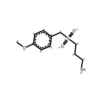 COc1ccc(CS(=O)(=O)CCCS)cc1